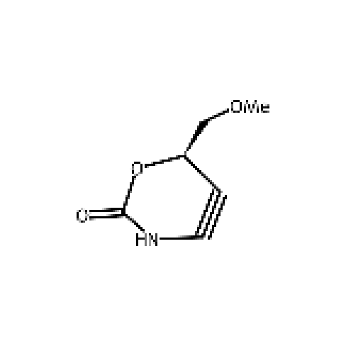 COC[C@H]1C#CNC(=O)O1